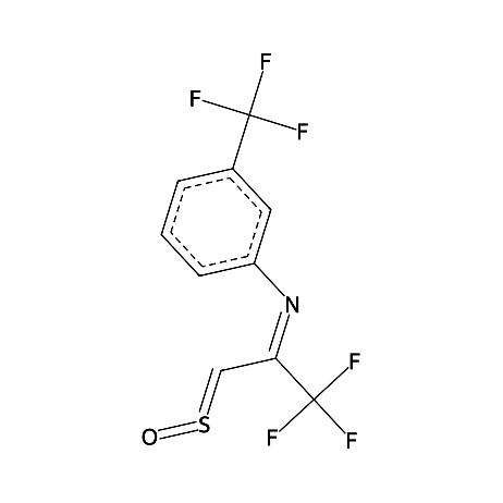 O=S=CC(=Nc1cccc(C(F)(F)F)c1)C(F)(F)F